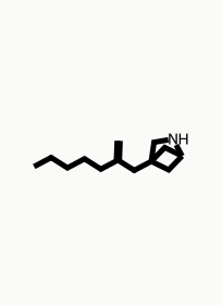 C=C(CCCCC)CC12CNC(C1)C2